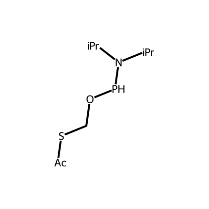 CC(=O)SCOPN(C(C)C)C(C)C